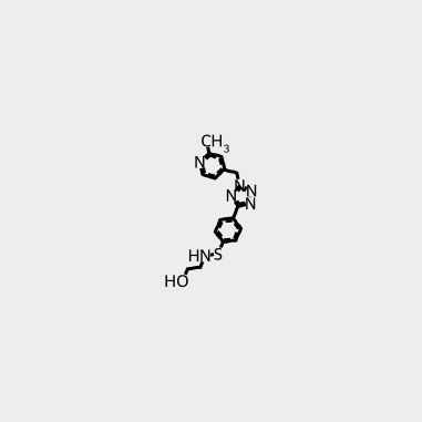 Cc1cc(Cn2nnc(-c3ccc(SNCCO)cc3)n2)ccn1